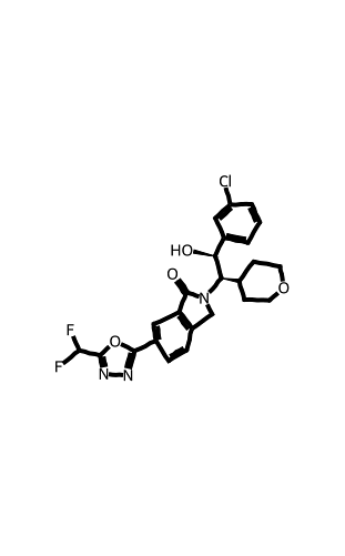 O=C1c2cc(-c3nnc(C(F)F)o3)ccc2CN1[C@H](C1CCOCC1)[C@@H](O)c1cccc(Cl)c1